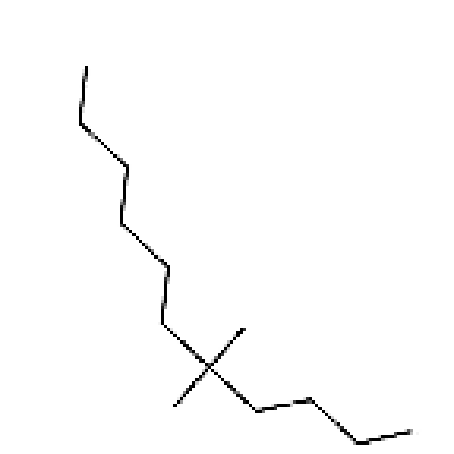 [CH2]CCCC(C)(C)CCCCCC